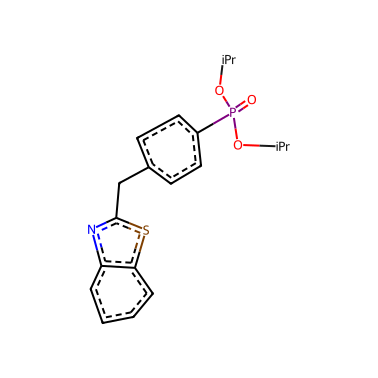 CC(C)OP(=O)(OC(C)C)c1ccc(Cc2nc3ccccc3s2)cc1